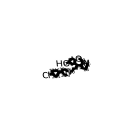 Oc1ccc2c(c1)C(=CCCN1CCC(c3ccc(Cl)cc3)CC1)c1cccnc1CO2